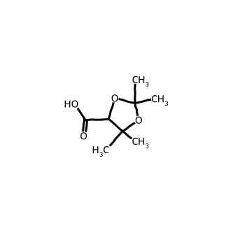 CC1(C)OC(C(=O)O)C(C)(C)O1